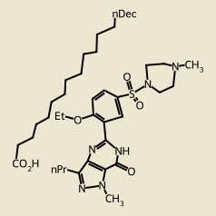 CCCCCCCCCCCCCCCCCCCCCCC(=O)O.CCCc1nn(C)c2c(=O)[nH]c(-c3cc(S(=O)(=O)N4CCN(C)CC4)ccc3OCC)nc12